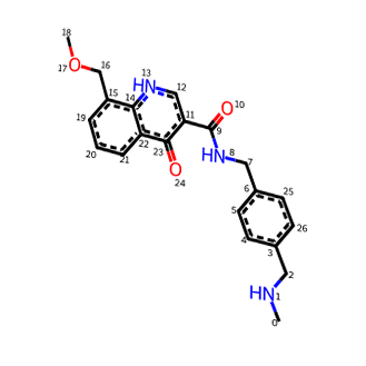 CNCc1ccc(CNC(=O)c2c[nH]c3c(COC)cccc3c2=O)cc1